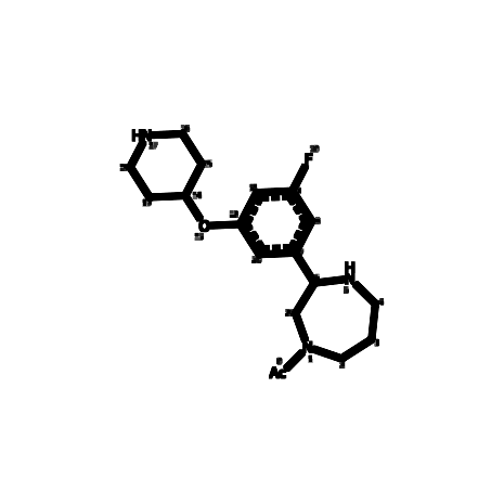 CC(=O)N1CCCNC(c2cc(F)cc(OC3CCNCC3)c2)C1